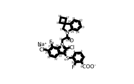 O=C([O-])c1cccc(Sc2c(Cl)n(CC(=O)N3CC4(CCC4)c4ccccc43)c3c(F)c(Cl)ccc23)c1F.[Na+]